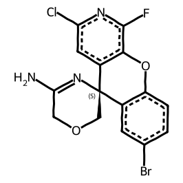 NC1=N[C@@]2(COC1)c1cc(Br)ccc1Oc1c2cc(Cl)nc1F